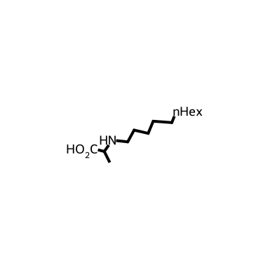 CCCCCCCCCCCNC(C)C(=O)O